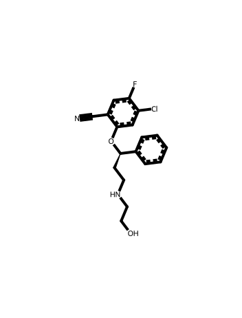 N#Cc1cc(F)c(Cl)cc1O[C@H](CCNCCO)c1ccccc1